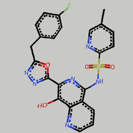 Cc1ccc(S(=O)(=O)Nc2nc(-c3nnc(Cc4ccc(F)cc4)o3)c(O)c3ncccc23)nc1